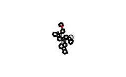 c1ccc(-c2cccc(-n3c4ccccc4c4ccc5c(c6ccc7oc8ccccc8c7c6n5-c5ccc6c7c(cccc57)-c5ccccc5-6)c43)c2)cc1